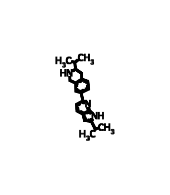 CC(C)c1cc2ccc(-c3ccc4c(c3)CNC(C(C)C)C4)nc2[nH]1